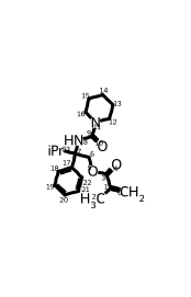 C=C(C)C(=O)OCC(NC(=O)N1CCCCC1)(c1ccccc1)C(C)C